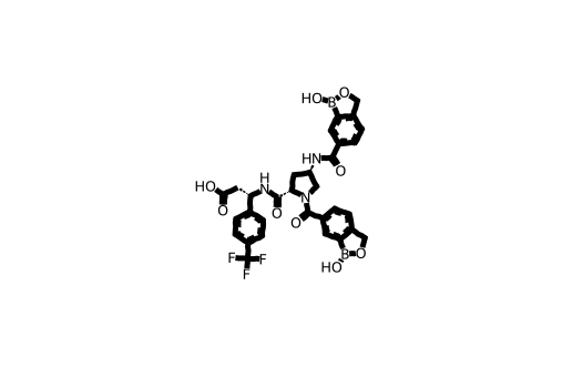 O=C(O)C[C@H](NC(=O)[C@@H]1C[C@H](NC(=O)c2ccc3c(c2)B(O)OC3)CN1C(=O)c1ccc2c(c1)B(O)OC2)c1ccc(C(F)(F)F)cc1